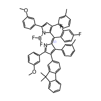 COc1cccc(C2=N/C(=C(/c3ccc(F)cc3F)c3c(-c4cccc(C)c4)cc(-c4cccc(OC)c4)n3B(F)F)C(c3cccc(C)c3)=C2c2ccc3c(c2)C(C)(C)c2ccccc2-3)c1